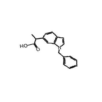 CC(C(=O)O)c1ccc2ccn(Cc3ccccc3)c2c1